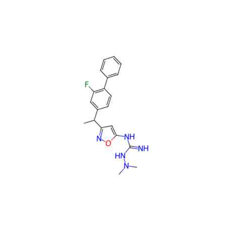 CC(c1ccc(-c2ccccc2)c(F)c1)c1cc(NC(=N)NN(C)C)on1